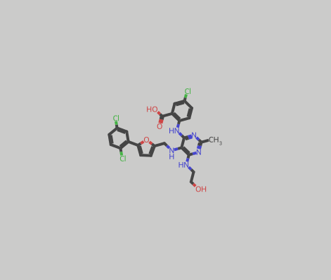 Cc1nc(NCCO)c(NCc2ccc(-c3cc(Cl)ccc3Cl)o2)c(Nc2ccc(Cl)cc2C(=O)O)n1